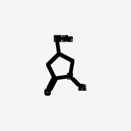 CCN1CC(NC(C)=O)CC1=O